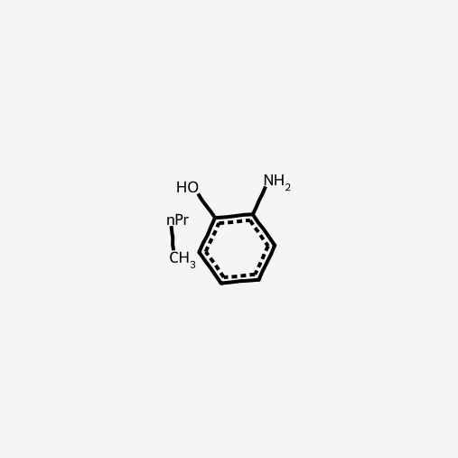 CCCC.Nc1ccccc1O